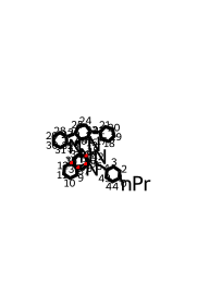 CCCc1ccc(-c2nc(-c3ccccc3)nc(-n3c4ccccc4c4ccc5c6ccccc6n(-c6ccccc6)c5c43)n2)cc1